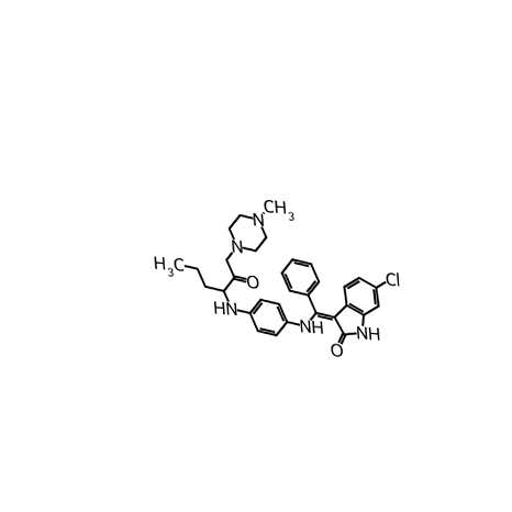 CCCC(Nc1ccc(N/C(=C2\C(=O)Nc3cc(Cl)ccc32)c2ccccc2)cc1)C(=O)CN1CCN(C)CC1